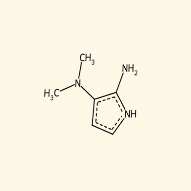 CN(C)c1cc[nH]c1N